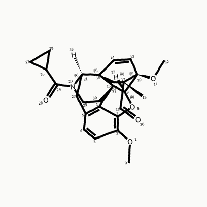 COc1ccc2c3c1O[C@H]1[C@@]4(OC)C=C[C@@]5(C[C@@]4(C)C=O)[C@@H](C2)N(C(=O)C2CC2)CC[C@]315